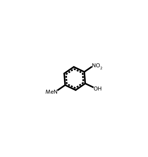 CNc1ccc([N+](=O)[O-])c(O)c1